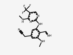 CNc1cc(CC#N)cc(Nc2ncc(C(F)(F)F)c(NC)n2)c1C=N